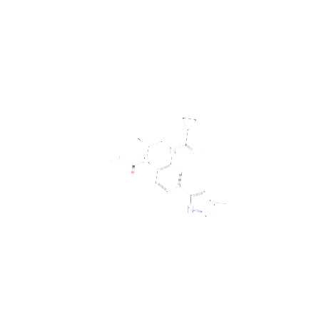 COC(=O)N1c2ccc(-c3cn(C)nn3)cc2N(C(=O)C2CC2)C[C@@H]1C